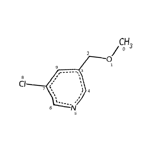 COCc1cncc(Cl)c1